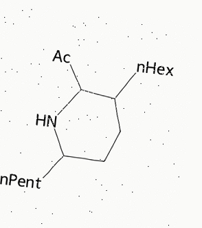 CCCCCCC1CCC(CCCCC)NC1C(C)=O